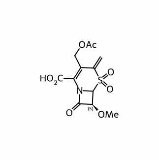 C=C1C(COC(C)=O)=C(C(=O)O)N2C(=O)[C@H](OC)C2S1(=O)=O